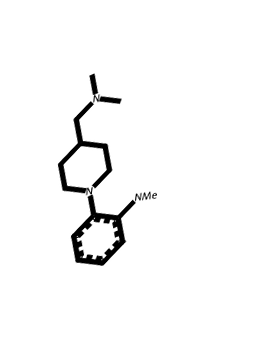 CNc1[c]cccc1N1CCC(CN(C)C)CC1